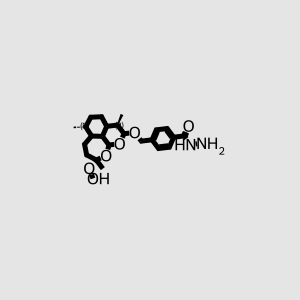 C[C@H]1C(OCc2ccc(C(=O)NN)cc2)OC2OC(C)(OO)CCC3C2C1CC[C@H]3C